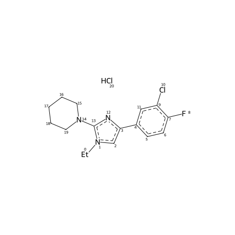 CCn1cc(-c2ccc(F)c(Cl)c2)nc1N1CCCCC1.Cl